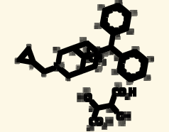 CC1(C)C2CN(CC3CC3)CC1CN(C(c1ccccc1)c1ccccc1)C2.O=C(O)C(O)C(O)C(=O)O